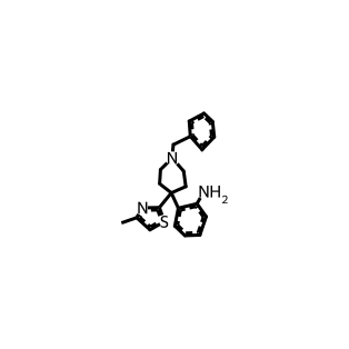 Cc1csc(C2(c3ccccc3N)CCN(Cc3ccccc3)CC2)n1